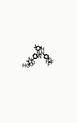 CC(C(=O)O)N(C)C(=O)c1ccc2c(c1)nc(Nc1ccc(OC(F)(F)F)cc1)n2[C@@H]1C[C@H](C)CC(C)(C)C1